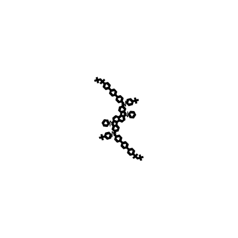 CC(C)(C)CC(C)(C)c1ccc(-c2ccc(-c3ccc(N(c4ccc(C(C)(C)C)cc4)c4ccc5c6c7ccc8c(c7ccc6n(-c6ccccc6)c5c4)c4ccc(N(c5ccc(-c6ccc(-c7ccc(C(C)(C)CC(C)(C)C)cc7)cc6)cc5)c5ccc(C(C)(C)C)cc5)cc4n8-c4ccccc4)cc3)cc2)cc1